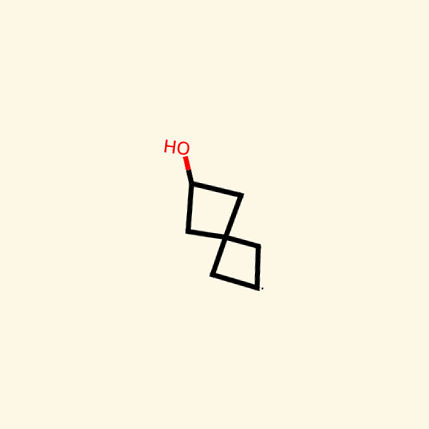 OC1CC2(C[CH]C2)C1